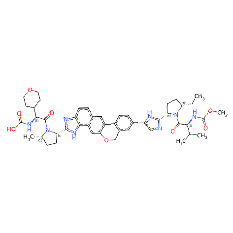 CC[C@H]1CC[C@@H](c2ncc(-c3ccc4c(c3)COc3cc5c(ccc6nc([C@@H]7CC[C@H](C)N7C(=O)[C@@H](NC(=O)O)C7CCOCC7)[nH]c65)cc3-4)[nH]2)N1C(=O)[C@@H](NC(=O)OC)C(C)C